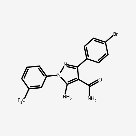 NC(=O)c1c(-c2ccc(Br)cc2)nn(-c2cccc(C(F)(F)F)c2)c1N